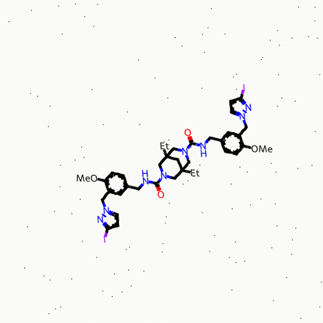 CCC12CN(C(=O)NCc3ccc(OC)c(Cn4ccc(I)n4)c3)CC(CC)(CN(C(=O)NCc3ccc(OC)c(Cn4ccc(I)n4)c3)C1)C2